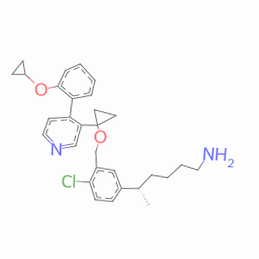 C[C@@H](CCCCN)c1ccc(Cl)c(COC2(c3cnccc3-c3ccccc3OC3CC3)CC2)c1